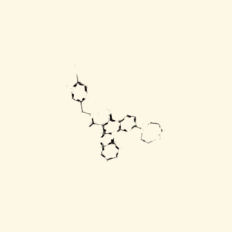 Cc1cnc(CNC(=O)c2c(=N)c3ccc(N4CCCNCC4)nc3n3c2sc2ccccc23)cn1